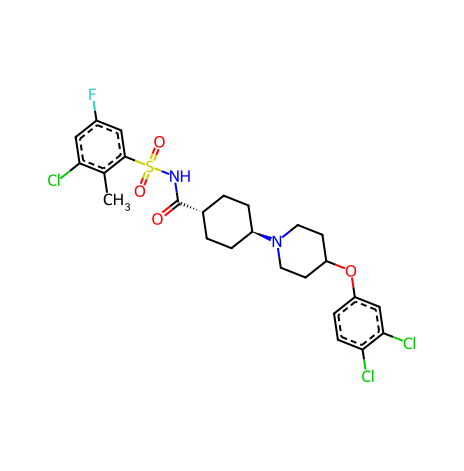 Cc1c(Cl)cc(F)cc1S(=O)(=O)NC(=O)[C@H]1CC[C@H](N2CCC(Oc3ccc(Cl)c(Cl)c3)CC2)CC1